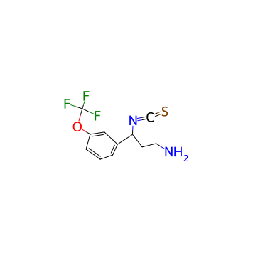 NCCC(N=C=S)c1cccc(OC(F)(F)F)c1